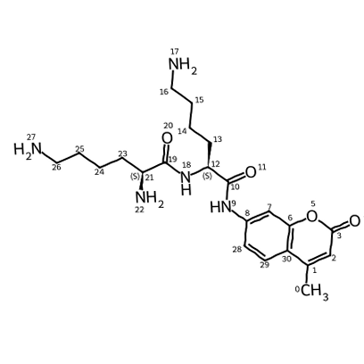 Cc1cc(=O)oc2cc(NC(=O)[C@H](CCCCN)NC(=O)[C@@H](N)CCCCN)ccc12